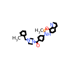 Cc1ccccc1CN1CCN(C(=O)c2ccc(NP(C)Oc3cccc4cccnc34)cc2)CC1